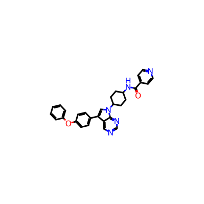 O=C(NC1CCC(n2cc(-c3ccc(Oc4ccccc4)cc3)c3cncnc32)CC1)c1ccncc1